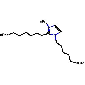 CCCCCCCCCCCCCCCCc1n(CCCCCCCCCCCCCCC)cc[n+]1CCC